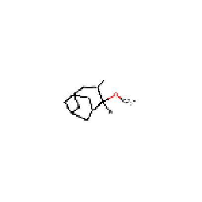 CCC1(OC(=O)O)C(C)CC23CC(CC1C2)C3